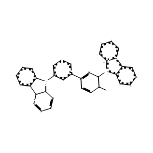 CC1C=CC(c2cccc(N3c4ccccc4C4C=CC=CC43)c2)=CC1n1c2ccccc2c2ccccc21